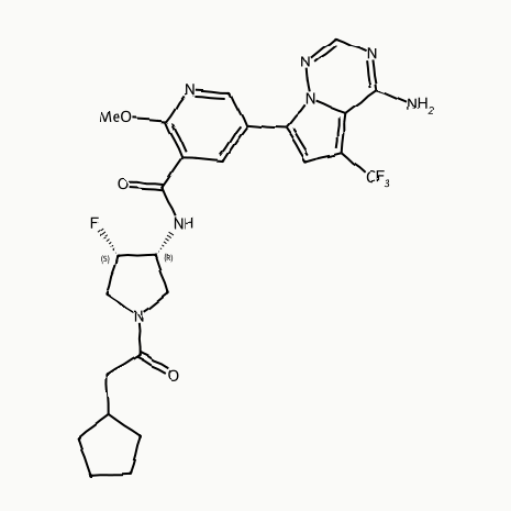 COc1ncc(-c2cc(C(F)(F)F)c3c(N)ncnn23)cc1C(=O)N[C@@H]1CN(C(=O)CC2CCCC2)C[C@@H]1F